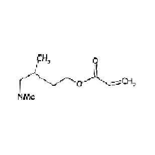 C=CC(=O)OCCC(C)CNC